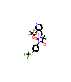 Cc1cnccc1C[N+]1(OC(=O)C(F)(F)F)C(=O)N(c2ccc(SC(F)(F)F)cc2)C(=O)C1(C)C